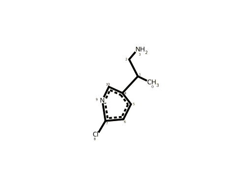 CC(CN)c1ccc(Cl)nc1